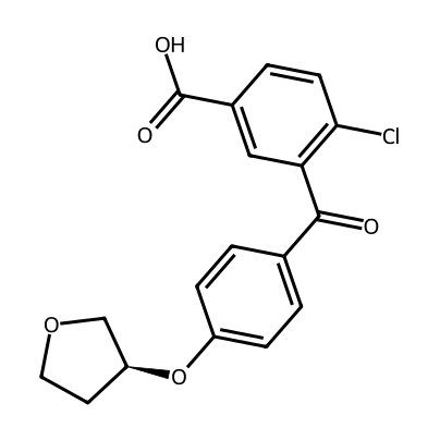 O=C(O)c1ccc(Cl)c(C(=O)c2ccc(O[C@H]3CCOC3)cc2)c1